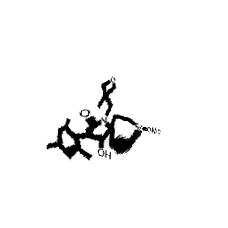 CON1CCC2(CC1)C(O)=C(c1c(C)cc(C)cc1C)C(=O)N2CC1(C)COC1